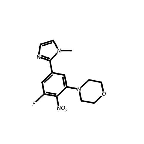 Cn1ccnc1-c1cc(F)c([N+](=O)[O-])c(N2CCOCC2)c1